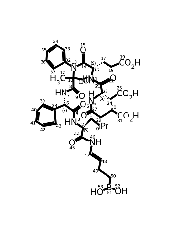 CC(C)C[C@H](NC(=O)[C@@H](NC(=O)C(C)(C)N(C(=O)[C@H](CCC(=O)O)NC(=O)[C@H](CC(=O)O)NC(=O)CCC(=O)O)c1ccccc1)c1ccccc1)C(=O)NC=CCCB(O)O